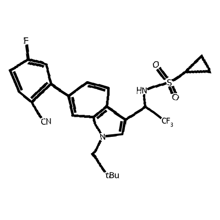 CC(C)(C)Cn1cc(C(NS(=O)(=O)C2CC2)C(F)(F)F)c2ccc(-c3cc(F)ccc3C#N)cc21